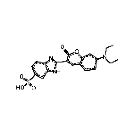 CCN(CC)c1ccc2cc(-c3nc4ccc(S(=O)(=O)O)cc4[nH]3)c(=O)oc2c1